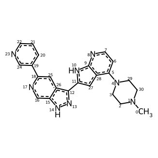 CN1CCN(c2ccnc3[nH]c(-c4n[nH]c5cnc(-c6cccnc6)cc45)cc23)CC1